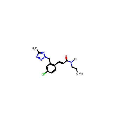 CCN(CCOC)C(=O)C=Cc1ccc(Cl)cc1Cn1nnc(C)n1